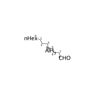 CCCCCCCCCCCCCC=O.[AlH3]